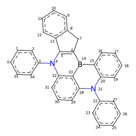 c1ccc(N2C3=C(Cc4ccccc43)B3c4ccccc4N(c4ccccc4)c4cccc2c43)cc1